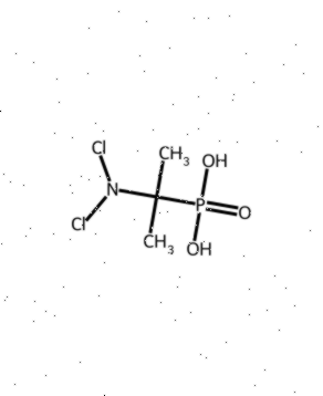 CC(C)(N(Cl)Cl)P(=O)(O)O